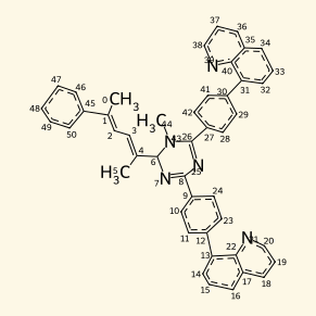 C/C(=C\C=C(/C)C1N=C(c2ccc(-c3cccc4cccnc34)cc2)N=C(c2ccc(-c3cccc4cccnc34)cc2)N1C)c1ccccc1